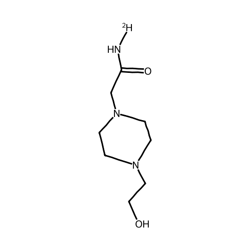 [2H]NC(=O)CN1CCN(CCO)CC1